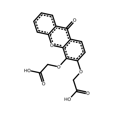 O=C(O)COc1ccc2c(=O)c3ccccc3oc2c1OCC(=O)O